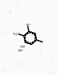 [B+2]c1cc(F)ccc1C.[OH-].[OH-]